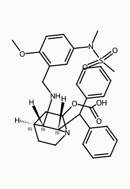 COc1ccc(N(C)S(C)(=O)=O)cc1CN[C@H]1[C@H]2CCN(C(OC(=O)O)C2)[C@H]1C(c1ccccc1)c1ccccc1